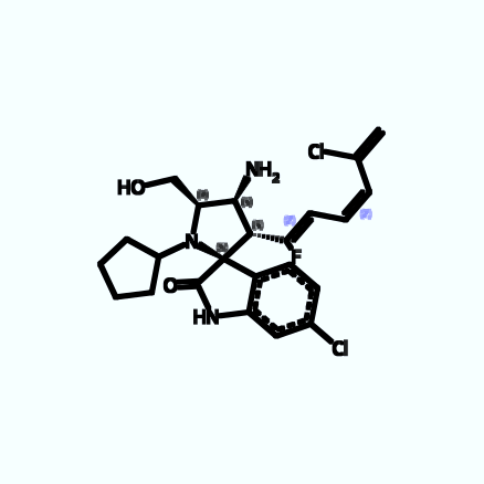 C=C(Cl)/C=C\C=C(/F)[C@H]1[C@H](N)[C@H](CO)N(C2CCCC2)[C@@]12C(=O)Nc1cc(Cl)ccc12